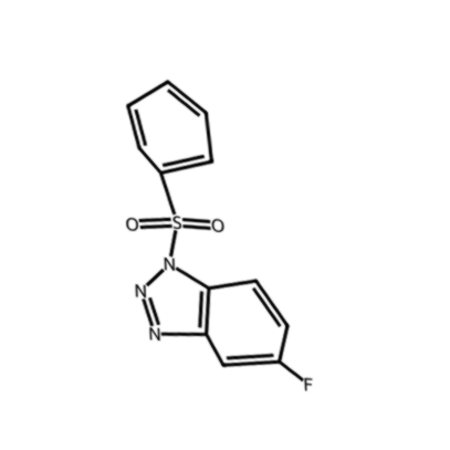 O=S(=O)(c1ccccc1)n1nnc2cc(F)ccc21